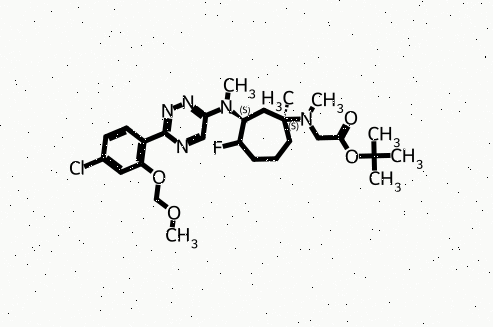 COCOc1cc(Cl)ccc1-c1ncc(N(C)[C@H]2C[C@@](C)(N(C)CC(=O)OC(C)(C)C)CCCC2F)nn1